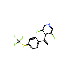 C=C(c1ccc(SC(F)(F)F)cc1)c1c(F)cncc1F